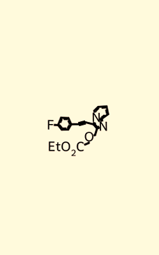 CCOC(=O)COCc1nc2ccccn2c1C#Cc1ccc(F)cc1